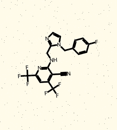 N#Cc1c(C(F)(F)F)cc(C(F)(F)F)nc1NCc1nccn1Cc1ccc(F)cc1